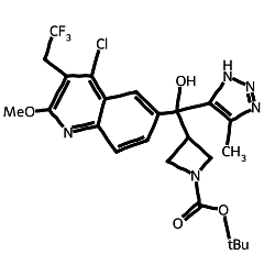 COc1nc2ccc(C(O)(c3[nH]nnc3C)C3CN(C(=O)OC(C)(C)C)C3)cc2c(Cl)c1CC(F)(F)F